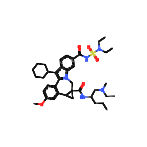 CCCC(CN(C)CC)NC(=O)C12CC1c1cc(OC)ccc1-c1c(C3CCCCC3)c3ccc(C(=O)NS(=O)(=O)N(CC)CC)cc3n1C2